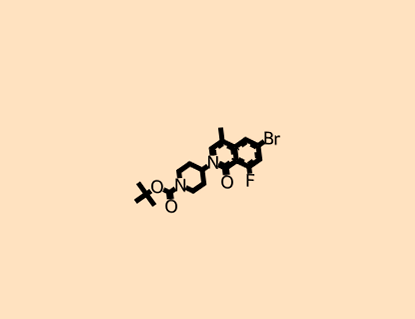 Cc1cn(C2CCN(C(=O)OC(C)(C)C)CC2)c(=O)c2c(F)cc(Br)cc12